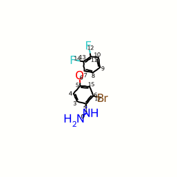 NNc1ccc(Oc2cccc(F)c2F)cc1Br